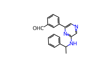 CC(Nc1cncc(-c2cccc(C=O)c2)n1)c1ccccc1